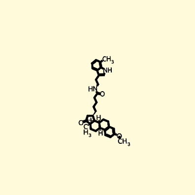 COc1ccc2c(c1)CC[C@H]1[C@@H]3[C@H](CCCCC(=O)NCCc4c[nH]c5c(C)cccc45)CC(=O)[C@@]3(C)CC[C@H]21